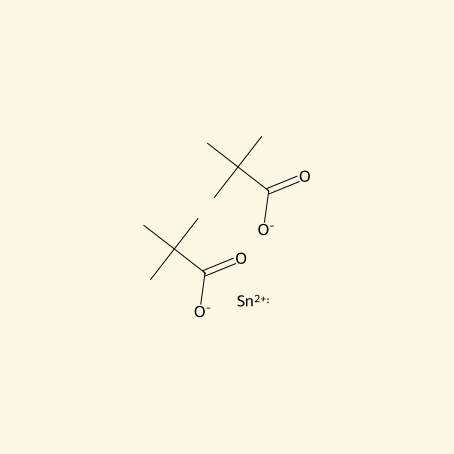 CC(C)(C)C(=O)[O-].CC(C)(C)C(=O)[O-].[Sn+2]